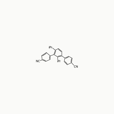 CC(C)c1ccc(-c2ccc(C#N)cc2)c(C(C)C)c1-c1ccc(C#N)cc1